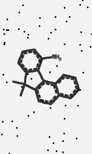 CC1(C)c2cccc(N)c2-c2c1ccc1ccccc21